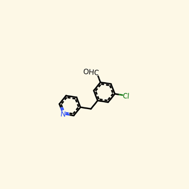 O=Cc1cc(Cl)cc(Cc2cccnc2)c1